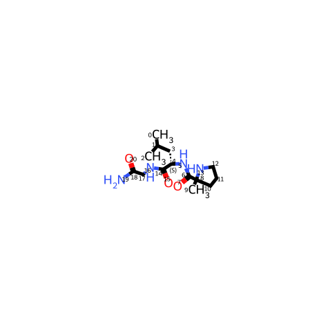 CC(C)C[C@H](NC(=O)C1(C)CCCN1)C(=O)NCC(N)=O